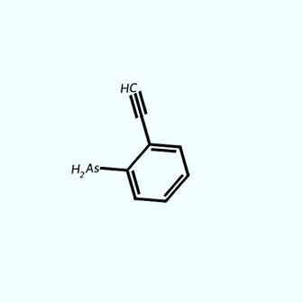 C#Cc1ccccc1[AsH2]